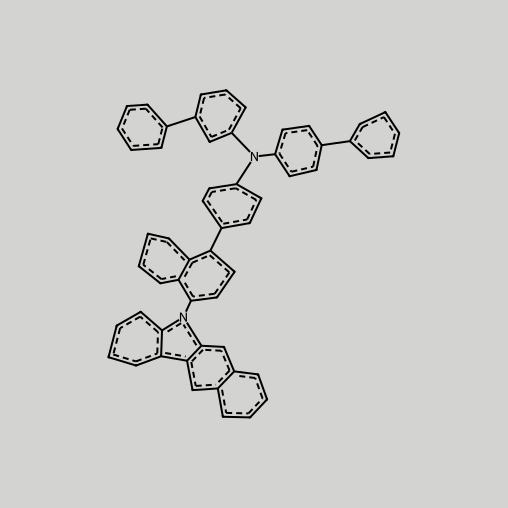 c1ccc(-c2ccc(N(c3ccc(-c4ccc(-n5c6ccccc6c6cc7ccccc7cc65)c5ccccc45)cc3)c3cccc(-c4ccccc4)c3)cc2)cc1